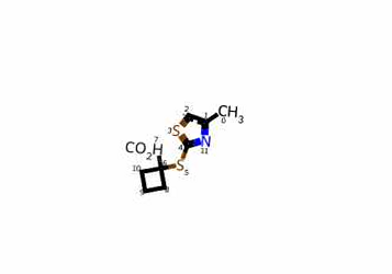 Cc1[c]sc(SC2(C(=O)O)CCC2)n1